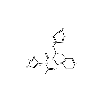 CC(=O)N(C(=O)[C@H](C)N(Cc1ccccc1)Cc1ccccc1)c1cscn1